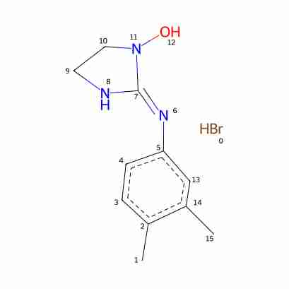 Br.Cc1ccc(/N=C2\NCCN2O)cc1C